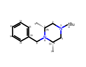 C[C@@H]1CN(C(C)(C)C)C[C@H](C)N1Cc1ccccc1